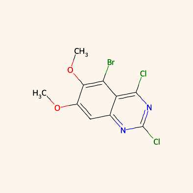 COc1cc2nc(Cl)nc(Cl)c2c(Br)c1OC